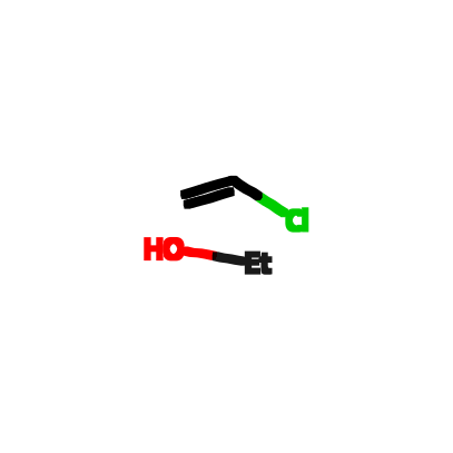 C=CCl.CCO